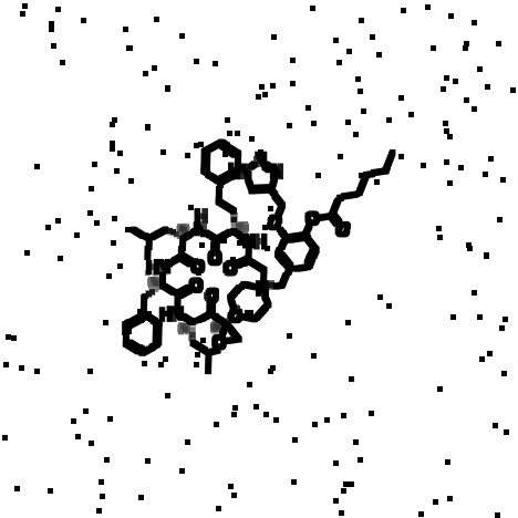 CCCCCC(=O)Oc1ccc(C[N+]2(CC(=O)N[C@@H](CCc3ccccc3)C(=O)N[C@@H](CC(C)C)C(=O)N[C@@H](Cc3ccccc3)C(=O)N[C@@H](CC(C)C)C(=O)[C@@]3(C)CO3)CCOCC2)cc1OCc1c[nH]nn1